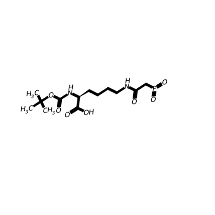 CC(C)(C)OC(=O)N[C@@H](CCCCNC(=O)CP(=O)=O)C(=O)O